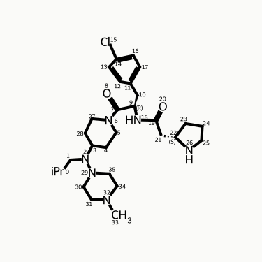 CC(C)CN(C1CCN(C(=O)[C@@H](Cc2ccc(Cl)cc2)NC(=O)C[C@@H]2CCCN2)CC1)N1CCN(C)CC1